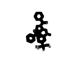 CN1CC2N(C(=O)C3CCCCC3)CCC2(S(=O)(=O)c2ccccc2)c2ccc(C(F)(C(F)(F)F)C(F)(F)F)cc21